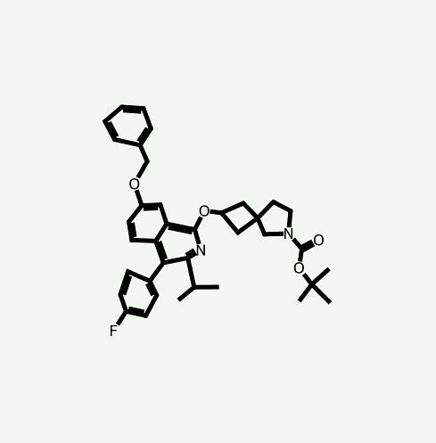 CC(C)c1nc(OC2CC3(CCN(C(=O)OC(C)(C)C)C3)C2)c2cc(OCc3ccccc3)ccc2c1-c1ccc(F)cc1